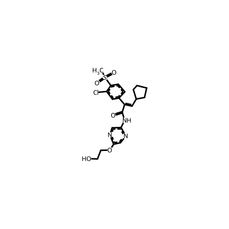 CS(=O)(=O)c1ccc(/C(=C\C2CCCC2)C(=O)Nc2cnc(OCCO)cn2)cc1Cl